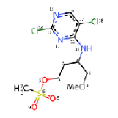 COCC(CCOS(C)(=O)=O)Nc1nc(Cl)ncc1Cl